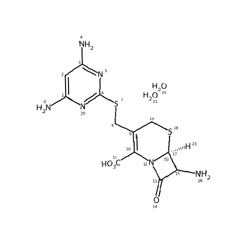 Nc1cc(N)nc(SCC2=C(C(=O)O)N3C(=O)C(N)[C@@H]3SC2)n1.O.O